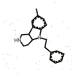 Cc1ccc2c(c1)C1CNCCC1N2CCc1ccccc1